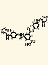 O=C(Nc1ccc(NC2=NCCN2)cc1)c1cc(C(=O)Nc2ccc(NC3=NCCN3)cc2)cc([N+](=O)O)c1